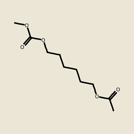 COC(=O)OCCCCCCOC(C)=O